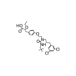 CCOC(Cc1ccc(OCCN(CCCc2cc(Cl)cc(Cl)c2)C(=O)NCC(C)(C)C)cc1)C(=O)O